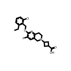 CCc1cccc(Cl)c1COc1nc2c(cc1F)CN(C1CC(C(=O)O)C1)CC2